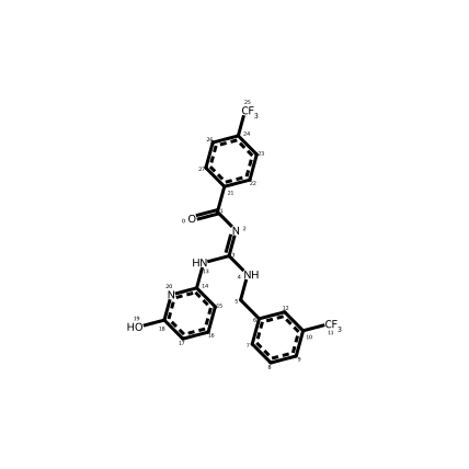 O=C(/N=C(/NCc1cccc(C(F)(F)F)c1)Nc1cccc(O)n1)c1ccc(C(F)(F)F)cc1